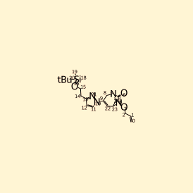 C=CCON1C(=O)N2CC(n3ccc(CCO[Si](C)(C)C(C)(C)C)n3)=CC1C2